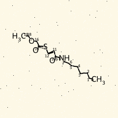 CCCCCCCCNC(=O)C=CSC(=O)COCC